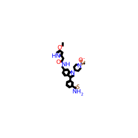 CCOc1c[nH]c(CC(=O)NCc2ccc3c(-c4cccc(C(N)=S)c4)cn(C4CCN([S+](C)[O-])CC4)c3c2)c1